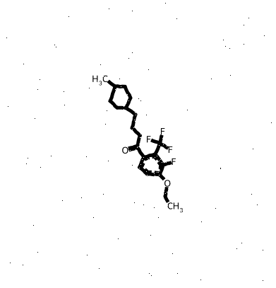 CCOc1ccc(C(=O)CCCC2CCC(C)CC2)c(C(F)(F)F)c1F